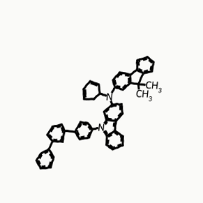 CC1(C)c2ccccc2-c2ccc(N(c3ccc4c5ccccc5n(-c5ccc(-c6cccc(-c7ccccc7)c6)cc5)c4c3)C3C=CC=CC3)cc21